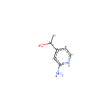 CC([O])c1ccnc(N)c1